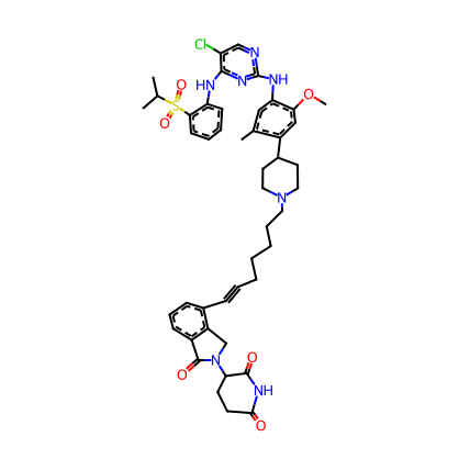 COc1cc(C2CCN(CCCCCC#Cc3cccc4c3CN(C3CCC(=O)NC3=O)C4=O)CC2)c(C)cc1Nc1ncc(Cl)c(Nc2ccccc2S(=O)(=O)C(C)C)n1